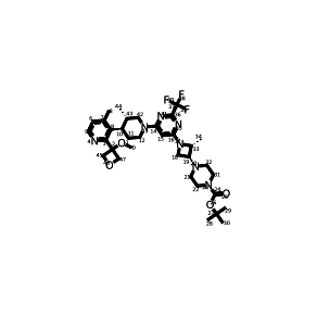 COC1(c2nccc(C)c2[C@@H]2CCN(c3cc(N4C[C@@H](N5CCN(C(=O)OC(C)(C)C)CC5)[C@H]4C)nc(C(F)(F)F)n3)C[C@H]2C)COC1